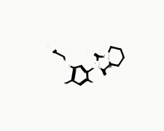 C#CCOc1cc(N2C(=O)[C@@H]3CCCCN3C2=O)c(F)cc1Cl